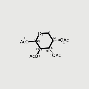 CC(=O)O[C@H]1OC[C@H](OC(C)=O)[C@H](OC(C)=O)[C@H]1OC(C)=O